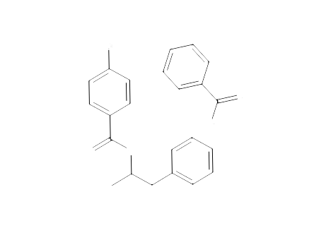 CC(Cc1ccccc1)OC(=S)c1ccc(Br)cc1.OC(=S)c1ccccc1